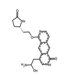 NC(O)Cc1c[nH]c(=O)c2cc3ccnc(OCC[C@@H]4CCC(=O)N4)c3cc12